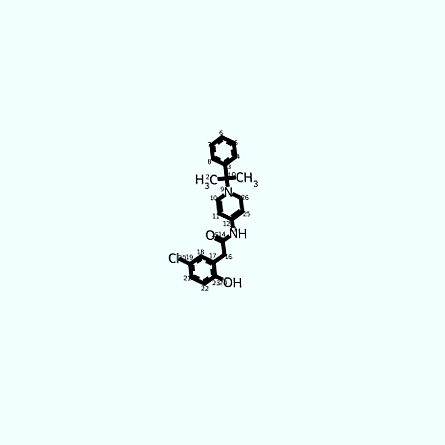 CC(C)(c1ccccc1)N1C=CC(NC(=O)Cc2cc(Cl)ccc2O)=CC1